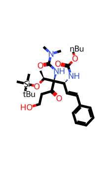 CCCCOC(=O)N[C@H](/C=C/c1ccccc1)[C@](NC(=O)N(C)C)(C(=O)CCO)[C@H](C)O[Si](C)(C)C(C)(C)C